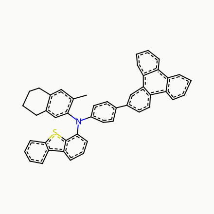 Cc1cc2c(cc1N(c1ccc(-c3ccc4c5ccccc5c5ccccc5c4c3)cc1)c1cccc3c1sc1ccccc13)CCCC2